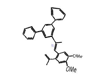 C=C(C)c1cc(OC)c(OC)cc1/C=C(\C)c1cc(-c2ccccc2)cc(-c2ccccc2)c1